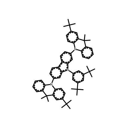 CC(C)(C)c1cc(-n2c3cc(N4c5ccccc5C(C)(C)c5cc(C(C)(C)C)ccc54)ccc3c3ccc(N4c5ccccc5C(C)(C)c5cc(C(C)(C)C)ccc54)cc32)cc(C(C)(C)C)c1